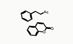 CC(=O)CCc1ccccc1.O=c1ccc2ccccc2o1